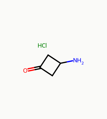 Cl.NC1CC(=O)C1